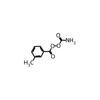 Cc1cccc(C(=O)OOC(N)=O)c1